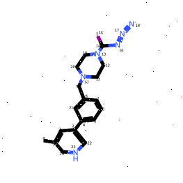 CC1=CC(c2cccc(CN3CCN(C(I)N=[N+]=[N-])CC3)c2)=CNC1